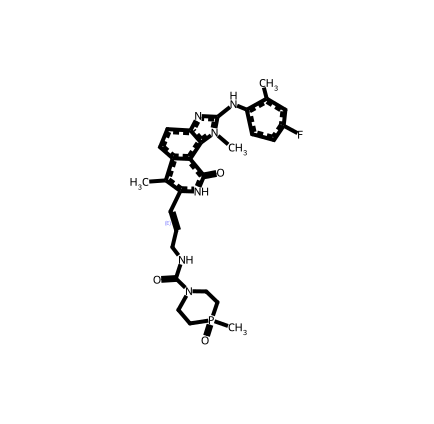 Cc1cc(F)ccc1Nc1nc2ccc3c(C)c(/C=C/CNC(=O)N4CCP(C)(=O)CC4)[nH]c(=O)c3c2n1C